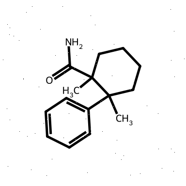 CC1(C(N)=O)CCCCC1(C)c1ccccc1